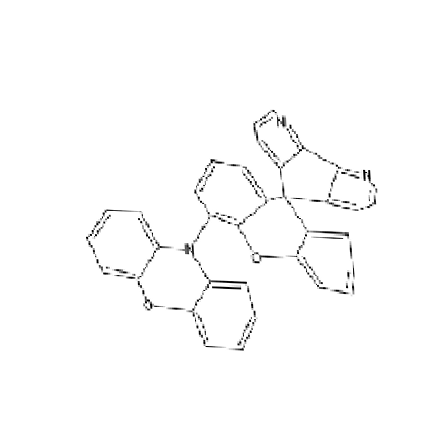 c1ccc2c(c1)Oc1ccccc1N2c1cccc2c1Oc1ccccc1C21c2cccnc2-c2ncccc21